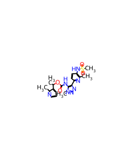 Cc1nc(-c2nnn(C)c2NC(=O)OC(C)c2cccnc2C)ccc1NS(C)(=O)=O